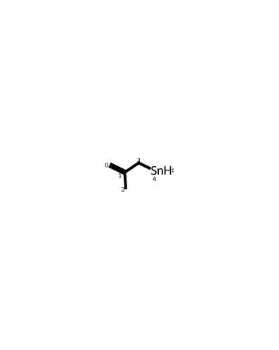 C=C(C)[CH2][SnH]